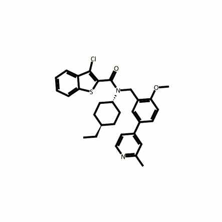 CC[C@H]1CC[C@H](N(Cc2cc(-c3ccnc(C)c3)ccc2OC)C(=O)c2sc3ccccc3c2Cl)CC1